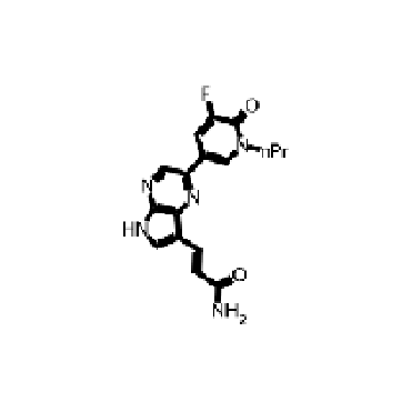 CCCn1cc(-c2cnc3[nH]cc(/C=C/C(N)=O)c3n2)cc(F)c1=O